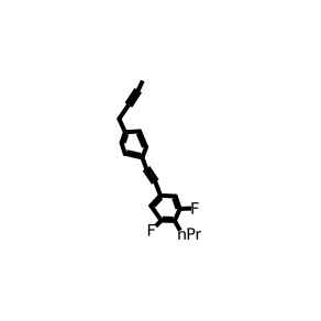 CC#CCc1ccc(C#Cc2cc(F)c(CCC)c(F)c2)cc1